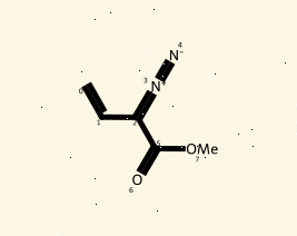 C=CC(=[N+]=[N-])C(=O)OC